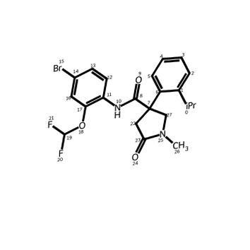 CC(C)c1ccccc1C1(C(=O)Nc2ccc(Br)cc2OC(F)F)CC(=O)N(C)C1